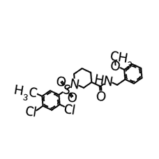 COc1ccccc1CNC(=O)C1CCCN(S(=O)(=O)c2cc(C)c(Cl)cc2Cl)C1